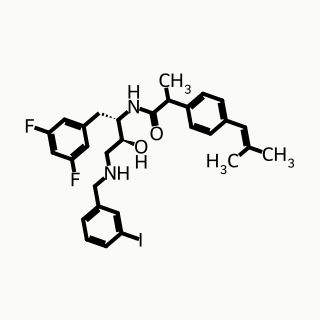 CC(C)=Cc1ccc(C(C)C(=O)N[C@@H](Cc2cc(F)cc(F)c2)[C@@H](O)CNCc2cccc(I)c2)cc1